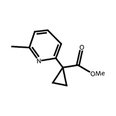 COC(=O)C1(c2cccc(C)n2)CC1